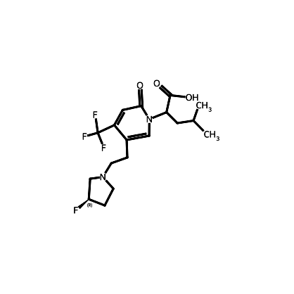 CC(C)CC(C(=O)O)n1cc(CCN2CC[C@@H](F)C2)c(C(F)(F)F)cc1=O